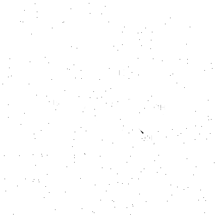 C[C@@H]1[C@H](OCCS)OC(CO)C(O)[C@H]1O